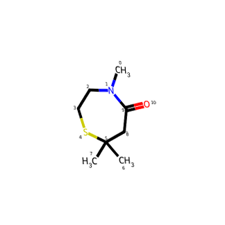 CN1CCSC(C)(C)[CH]C1=O